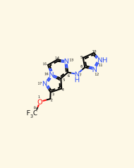 FC(F)(F)OCc1cc2c(Nc3cc[nH]n3)nccn2n1